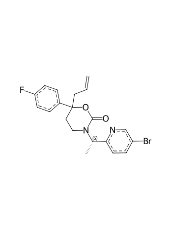 C=CCC1(c2ccc(F)cc2)CCN([C@@H](C)c2ccc(Br)cn2)C(=O)O1